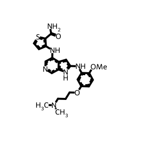 COc1ccc(OCCCN(C)C)cc1Nc1cc2c(Nc3ccsc3C(N)=O)cncc2[nH]1